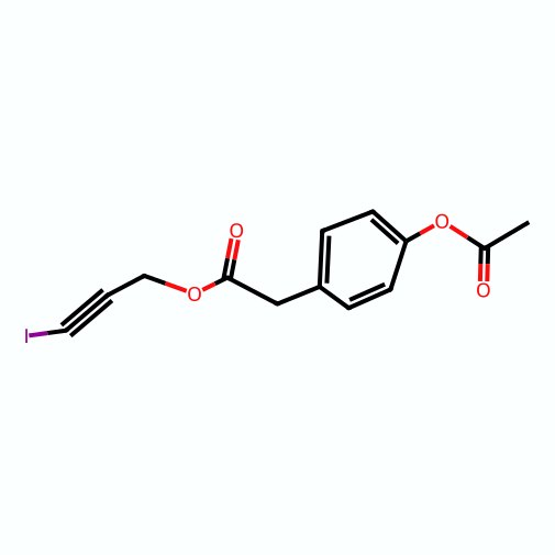 CC(=O)Oc1ccc(CC(=O)OCC#CI)cc1